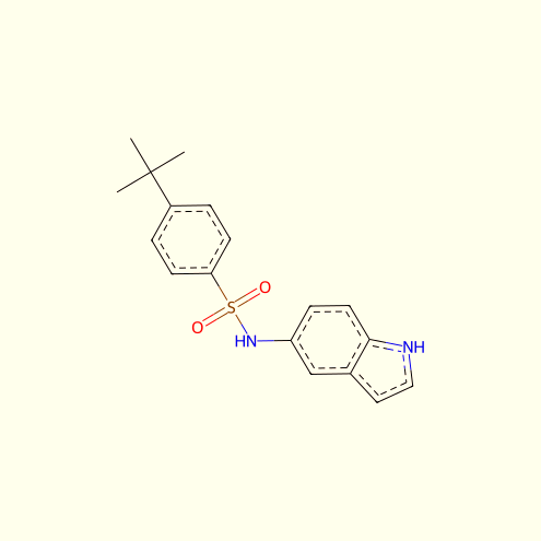 CC(C)(C)c1ccc(S(=O)(=O)Nc2ccc3[nH]ccc3c2)cc1